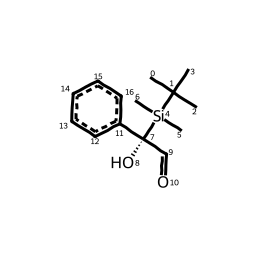 CC(C)(C)[Si](C)(C)[C@@](O)(C=O)c1ccccc1